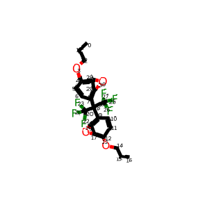 CCCOc1ccc(C(c2ccc(OCCC)c3c2O3)(C(F)(F)F)C(F)(F)F)c2c1O2